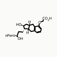 CCCCC[C@H](O)CC[C@H]1[C@H]2Cc3cccc(OCC(=O)O)c3C[C@H]2C[C@@H]1O